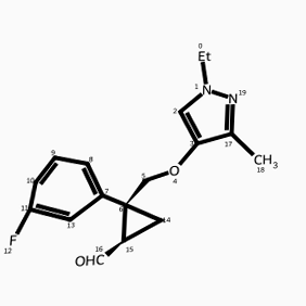 CCn1cc(OC[C@@]2(c3cccc(F)c3)C[C@H]2C=O)c(C)n1